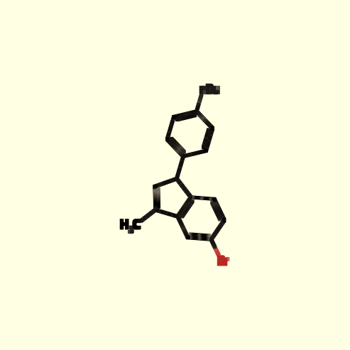 CCCCc1ccc(C2C=C(C)c3cc(Br)ccc32)cc1